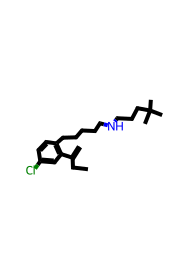 C=C(CC)c1cc(Cl)ccc1CCCCCNCCCC(C)(C)C